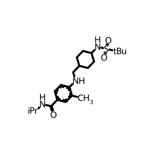 Cc1cc(C(=O)NC(C)C)ccc1NCC1CCC(NS(=O)(=O)C(C)(C)C)CC1